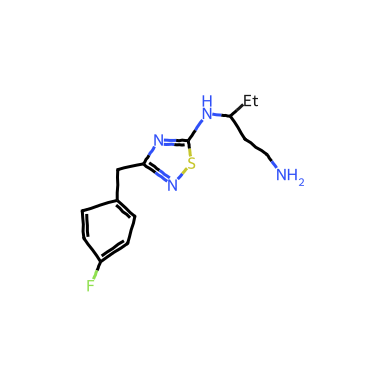 CCC(CCN)Nc1nc(Cc2ccc(F)cc2)ns1